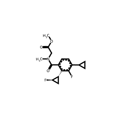 COC(=O)CN(C)C(=O)c1ccc(C2CC2)c(F)c1[C@@H]1C[C@H]1F